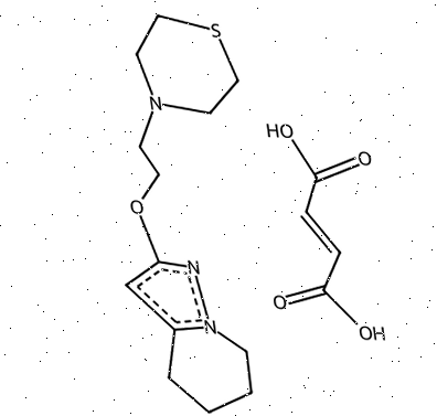 O=C(O)C=CC(=O)O.c1c(OCCN2CCSCC2)nn2c1CCCC2